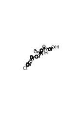 COCCn1c(CN2CCC(c3cccc(OCc4ccc(Cl)cc4F)n3)CC2)nc2cc(C(=O)NCc3cccc(O)c3)ccc21